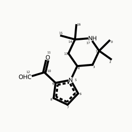 CC1(C)CC(n2cccc2C(=O)C=O)CC(C)(C)N1